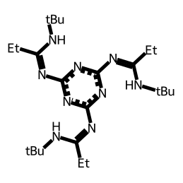 CCC(=Nc1nc(N=C(CC)NC(C)(C)C)nc(N=C(CC)NC(C)(C)C)n1)NC(C)(C)C